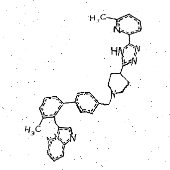 Cc1cccc(-c2nnc(C3CCN(Cc4ccc(-c5cccc(C)c5-c5cnc6cccnn56)cc4)CC3)[nH]2)n1